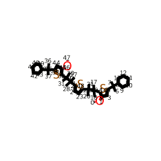 COc1cc(C(C)(C)c2ccccc2)sc1C(C)(C)C(C)(C)c1ccc(C(C)(C)C(C)(C)c2sc(C(C)(C)c3ccccc3)cc2OC)s1